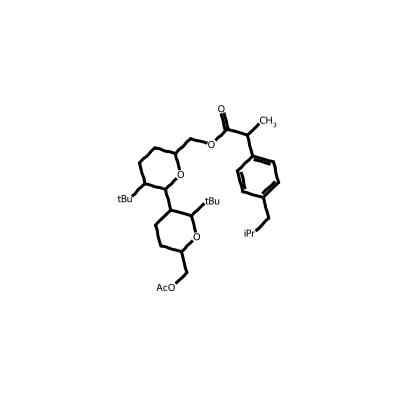 CC(=O)OCC1CCC(C2OC(COC(=O)C(C)c3ccc(CC(C)C)cc3)CCC2C(C)(C)C)C(C(C)(C)C)O1